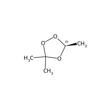 C[C@@H]1OOC(C)(C)O1